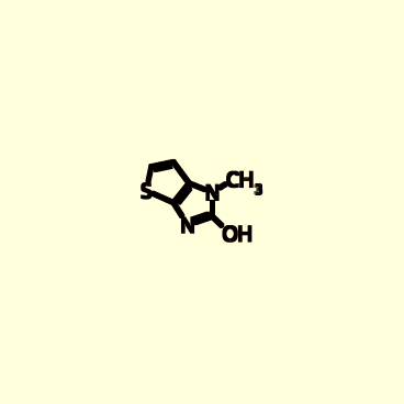 Cn1c(O)nc2sccc21